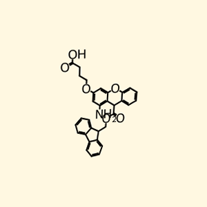 Nc1cc(OCCCC(=O)O)cc2c1C(C(=O)OCC1c3ccccc3-c3ccccc31)c1ccccc1O2